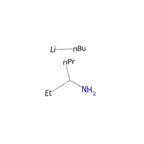 CCCC(N)CC.[Li][CH2]CCC